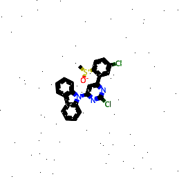 C[S+]([O-])c1ccc(Cl)cc1-c1cc(-n2c3ccccc3c3ccccc32)nc(Cl)n1